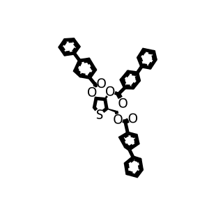 O=C(OC[C@H]1SC[C@H](OC(=O)c2ccc(-c3ccccc3)cc2)[C@H]1OC(=O)c1ccc(-c2ccccc2)cc1)c1ccc(-c2ccccc2)cc1